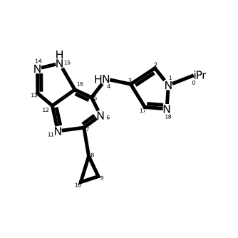 CC(C)n1cc(Nc2nc(C3CC3)nc3cn[nH]c23)cn1